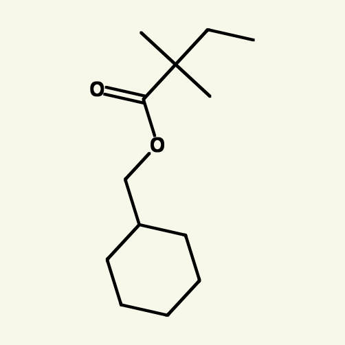 CCC(C)(C)C(=O)OCC1CCCCC1